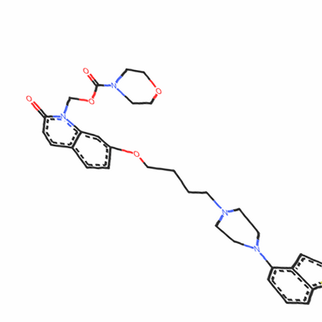 O=C(OCn1c(=O)ccc2ccc(OCCCCN3CCN(c4cccc5sccc45)CC3)cc21)N1CCOCC1